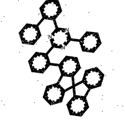 c1ccc(-c2nc(-c3ccccc3-c3ccccc3)nc(-c3ccccc3-c3cccc4c3-c3ccccc3C43c4ccccc4-c4ccccc43)n2)cc1